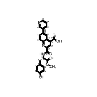 COC(=O)[C@H](Cc1ccc(O)cc1)NC(=O)c1cc(C(=O)O)c2cc(-c3cccnc3)ccc2n1